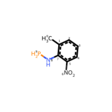 Cc1cccc([N+](=O)[O-])c1NP